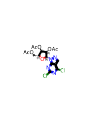 CC(=O)OC[C@H]1O[C@@H](n2ncc3c(Cl)nc(Cl)nc32)[C@H](OC(C)=O)[C@@H]1OC(C)=O